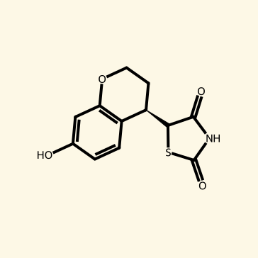 O=C1NC(=O)C([C@@H]2CCOc3cc(O)ccc32)S1